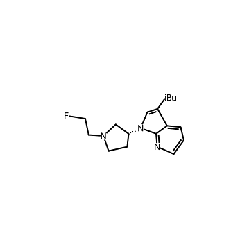 CCC(C)c1cn([C@@H]2CCN(CCF)C2)c2ncccc12